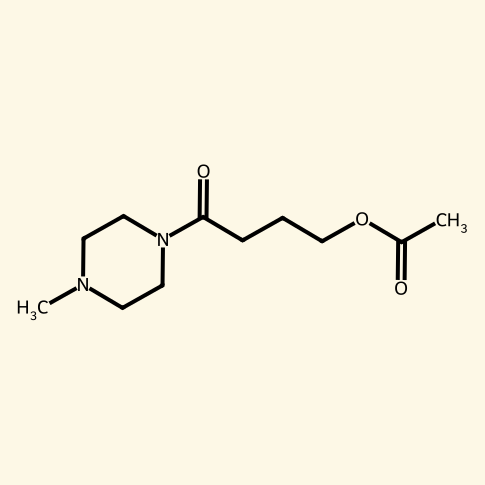 CC(=O)OCCCC(=O)N1CCN(C)CC1